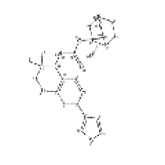 CC1(C)COc2cc(-c3ccsc3)ccc2C1NC(=O)O[C@H]1CN2CCC1CC2